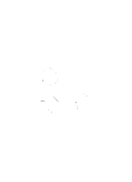 CCNC(=O)OC1=C(c2c(C)cc(C)cc2CC)C(=O)NC12CCCCC2